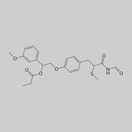 CCC(=O)OC(COc1ccc(CC(SC)C(=O)NC=O)cc1)c1cccc(OC)c1